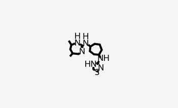 CC1CN=C(NC2CCCC(NC3=NSCN3)CC2)NC(C)C1